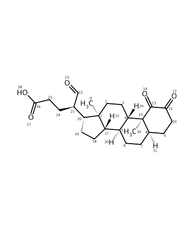 C[C@]12CC[C@H]3[C@@H](CC[C@@H]4CCC(=O)C(=O)[C@@]43C)[C@@H]1CC[C@@H]2[C@H](C=O)CCC(=O)O